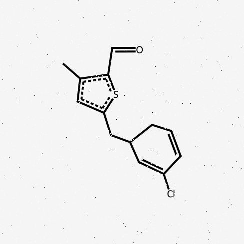 Cc1cc(CC2C=C(Cl)C=CC2)sc1C=O